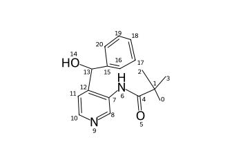 CC(C)(C)C(=O)Nc1cnccc1C(O)c1ccccc1